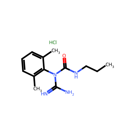 CCCNC(=O)N(C(=N)N)c1c(C)cccc1C.Cl